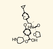 C[C@H](NC(=O)[C@@H]1CCCO1)[C@H](Oc1ccc(C(=O)O)c([C@@H]2CCCNC2)c1)c1ccc(C2CC2)cc1